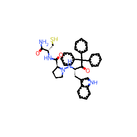 NC(=O)[C@H](CS)NC(=O)[C@@H]1CCCN1N[C@@H](Cc1c[nH]c2ccccc12)C(=O)C(c1ccccc1)(c1ccccc1)c1ccccc1